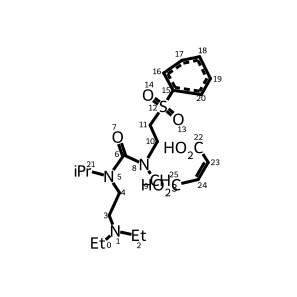 CCN(CC)CCN(C(=O)N(C)CCS(=O)(=O)c1ccccc1)C(C)C.O=C(O)/C=C\C(=O)O